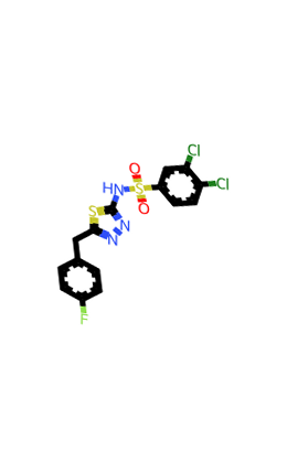 O=S(=O)(Nc1nnc(Cc2ccc(F)cc2)s1)c1ccc(Cl)c(Cl)c1